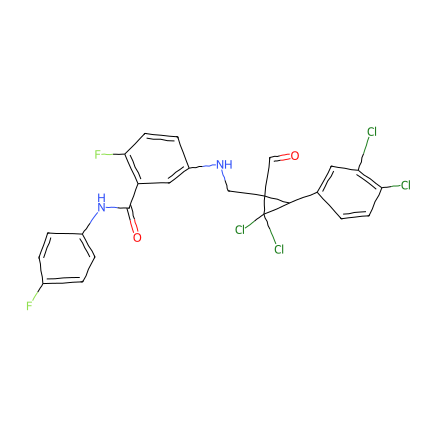 O=CC1(CNc2ccc(F)c(C(=O)Nc3ccc(F)cc3)c2)C(c2ccc(Cl)c(Cl)c2)C1(Cl)Cl